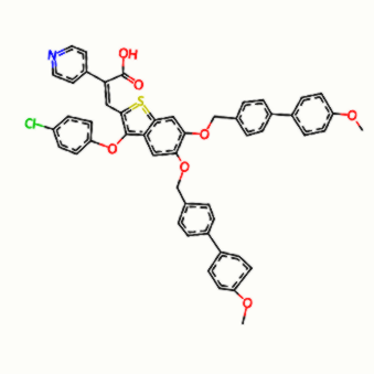 COc1ccc(-c2ccc(COc3cc4sc(C=C(C(=O)O)c5ccncc5)c(Oc5ccc(Cl)cc5)c4cc3OCc3ccc(-c4ccc(OC)cc4)cc3)cc2)cc1